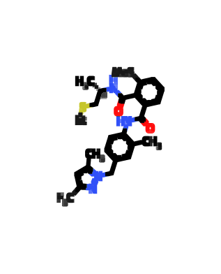 CCSC[C@H](C)NC(=O)c1c(SC)cccc1C(=O)Nc1ccc(Cn2nc(C(F)(F)F)cc2C)cc1C